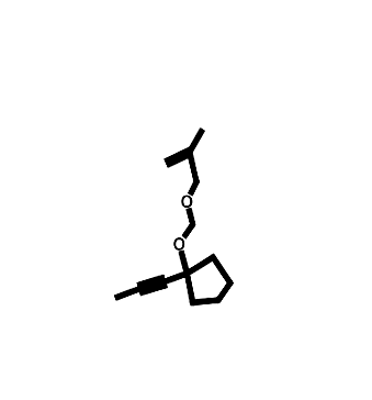 C=C(C)COCOC1(C#CC)CCCC1